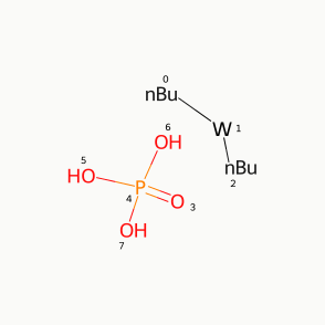 CCC[CH2][W][CH2]CCC.O=P(O)(O)O